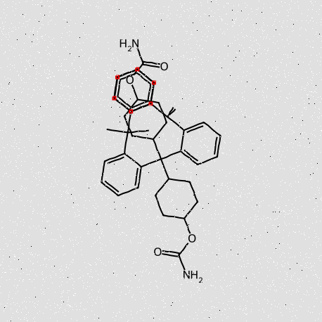 CC(C)(c1ccccc1)c1ccccc1C(c1ccccc1C(C)(C)c1ccccc1)(C1CCC(OC(N)=O)CC1)C1CCC(OC(N)=O)CC1